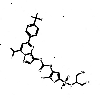 O=C(Nc1cc(S(=O)(=O)NC(CO)CO)sc1Cl)Oc1cnn2c(C(F)F)cc(-c3ccc(C(F)(F)F)cc3)nc12